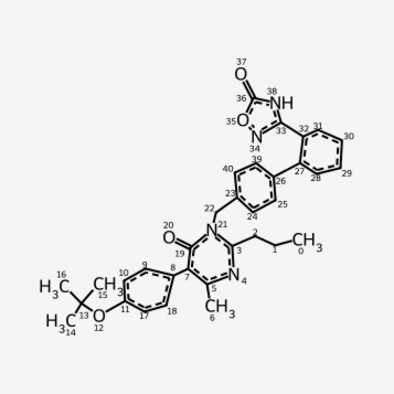 CCCc1nc(C)c(-c2ccc(OC(C)(C)C)cc2)c(=O)n1Cc1ccc(-c2ccccc2-c2noc(=O)[nH]2)cc1